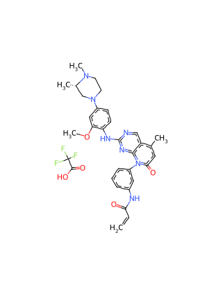 C=CC(=O)Nc1cccc(-n2c(=O)cc(C)c3cnc(Nc4ccc(N5CCN(C)[C@@H](C)C5)cc4OC)nc32)c1.O=C(O)C(F)(F)F